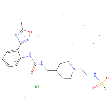 Cc1nc(-c2ccccc2NC(=O)NCC2CCN(CCNS(C)(=O)=O)CC2)no1.Cl